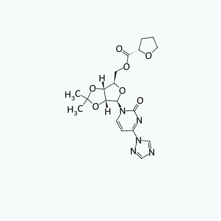 CC1(C)O[C@@H]2[C@H](O1)[C@@H](COC(=O)[C@@H]1CCCO1)O[C@H]2n1ccc(-n2cncn2)nc1=O